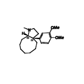 COc1ccc([C@@]23CCCCCCC[C@@H]2N(C)CC3)cc1OC